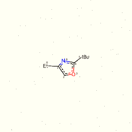 CCc1coc(C(C)(C)C)n1